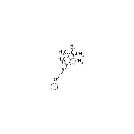 Cc1c(C)c(NC(=O)CSCCCOC2CCCCC2)c(C)c(C)c1N